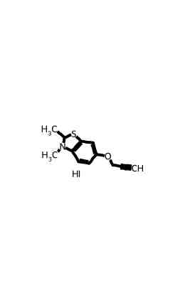 C#CCOc1ccc2c(c1)SC(C)N2C.I